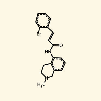 CN1CCc2c(cccc2NC(=O)/C=C/c2ccccc2Br)C1